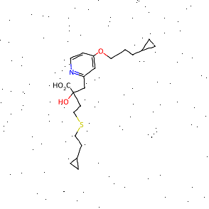 O=C(O)C(O)(CCSCCC1CC1)Cc1cc(OCCCC2CC2)ccn1